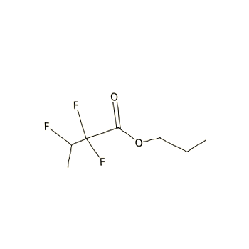 CCCOC(=O)C(F)(F)C(C)F